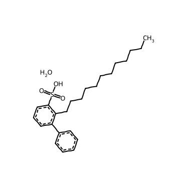 CCCCCCCCCCCCc1c(-c2ccccc2)cccc1S(=O)(=O)O.O